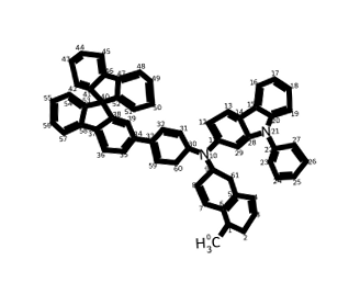 CC1CC=CC2=C1C=CC(N(c1ccc3c4ccccc4n(-c4ccccc4)c3c1)C1C=CC(c3ccc4c(c3)C3(c5ccccc5-c5ccccc53)c3ccccc3-4)=CC1)C2